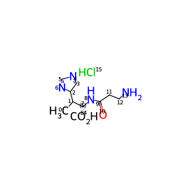 CC(C1C=NC=N1)[C@H](NC(=O)CCN)C(=O)O.Cl